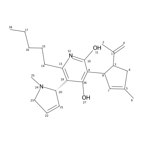 C=C(C)C1CC(C)=CC1c1c(O)nc(CCCCC)c([C@@H]2C=CCN2C)c1O